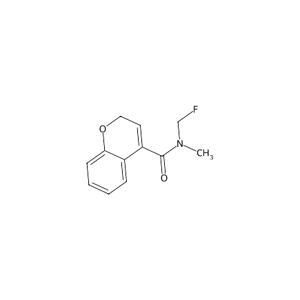 CN(CF)C(=O)C1=CCOc2ccccc21